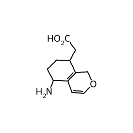 NC1CCC(CC(=O)O)C2=C1C=COC2